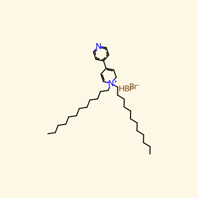 Br.CCCCCCCCCCCC[N+]1(CCCCCCCCCCCC)C=CC(c2ccncc2)=CC1.[Br-]